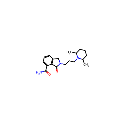 CC1CCCC(C)N1CCCN1Cc2cccc(C(N)=O)c2C1=O